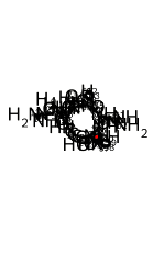 CC(=O)N[C@@H](CCCNC(=N)N)C(=O)N[C@H]1CC(=O)NCCCC[C@@H](C(=O)O)NC(=O)[C@H](Cc2c[nH]c3ccccc23)NC(=O)C(CCCNC(=N)N)NC(=O)[C@@H](Cc2ccccc2)NC(=O)[C@H](CC(N)=O)NC1=O